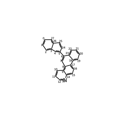 c1ccc2cc(-c3cc4c5cccnc5ccc4c4ccccc34)ccc2c1